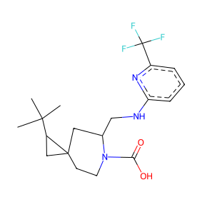 CC(C)(C)C1CC12CCN(C(=O)O)C(CNc1cccc(C(F)(F)F)n1)C2